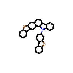 c1ccc2c(c1)sc1cc(-n3c4ccccc4c4ccc5cc6sc7ccccc7c6cc5c43)ccc12